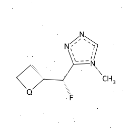 Cn1cnnc1[C@H](F)[C@H]1CCO1